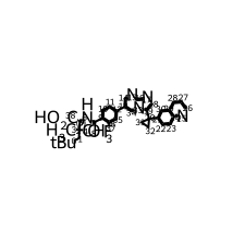 CC(C)(C)CC(C)(C)[C@H](NC(=O)c1ccc(-c2cnc3ncc(C4(c5ccc6ncccc6c5)CC4)n3c2)cc1F)C(=O)O